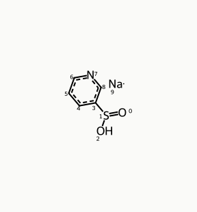 O=S(O)c1cccnc1.[Na]